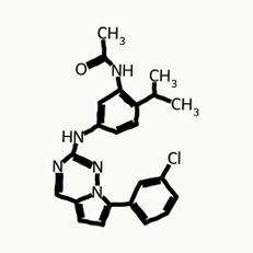 CC(=O)Nc1cc(Nc2ncc3ccc(-c4cccc(Cl)c4)n3n2)ccc1C(C)C